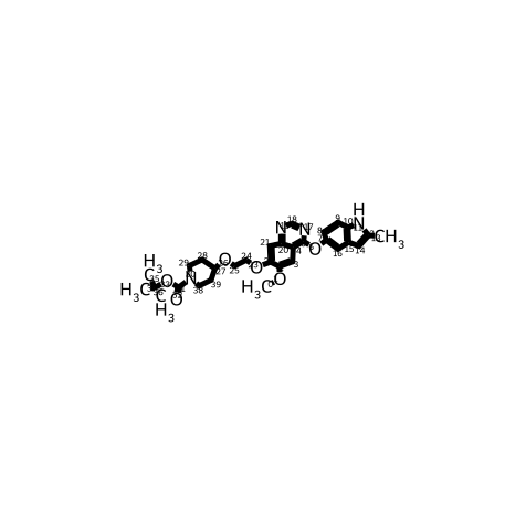 COc1cc2c(Oc3ccc4[nH]c(C)cc4c3)ncnc2cc1OCCOC1CCN(C(=O)OC(C)(C)C)CC1